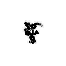 Cc1cc(C(=O)Nc2cccc(C(NCC3CC3)c3ccc(S(C)(=O)=O)cc3)c2)n(-c2cccc(CN)c2)n1